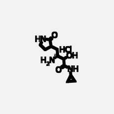 Cl.N[C@@H](CC1CCNC1=O)C(O)C(=O)NC1CC1